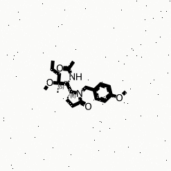 CCC[C@](C)(OC)[C@H](NC(C)=O)[C@H]1CCC(=O)N1Cc1ccc(OC)cc1